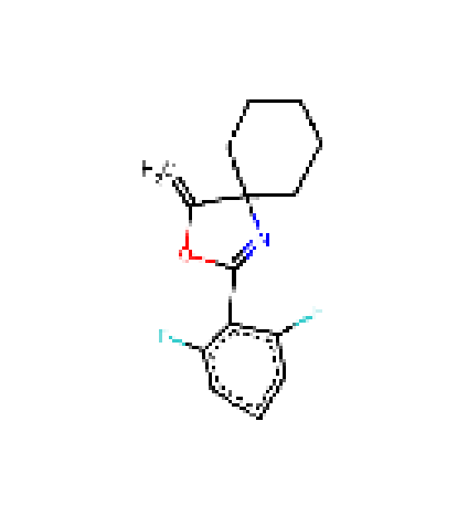 C=C1OC(c2c(F)cccc2F)=NC12CCCCC2